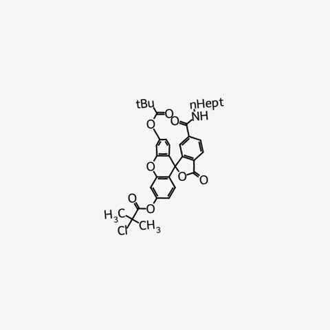 CCCCCCCNC(=O)c1ccc2c(c1)C1(OC2=O)c2ccc(OC(=O)C(C)(C)C)cc2Oc2cc(OC(=O)C(C)(C)Cl)ccc21